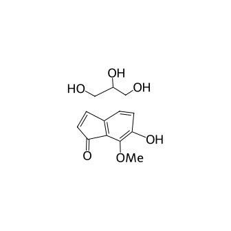 COc1c(O)ccc2c1C(=O)C=C2.OCC(O)CO